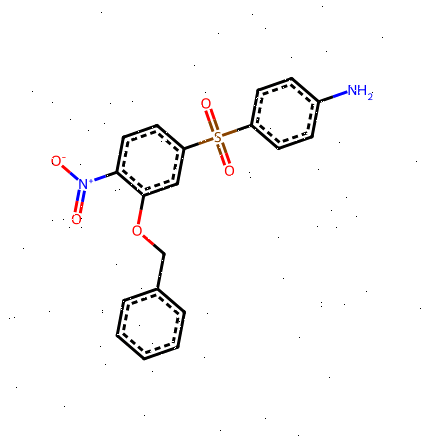 Nc1ccc(S(=O)(=O)c2ccc([N+](=O)[O-])c(OCc3ccccc3)c2)cc1